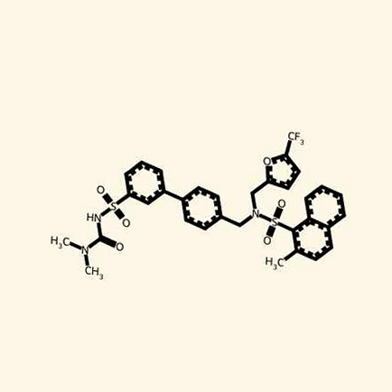 Cc1ccc2ccccc2c1S(=O)(=O)N(Cc1ccc(-c2cccc(S(=O)(=O)NC(=O)N(C)C)c2)cc1)Cc1ccc(C(F)(F)F)o1